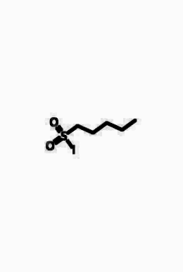 CCCCCS(=O)(=O)I